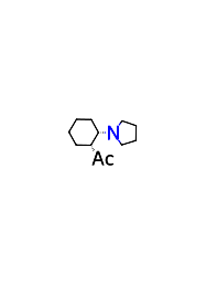 CC(=O)[C@@H]1CCCC[C@@H]1N1CCCC1